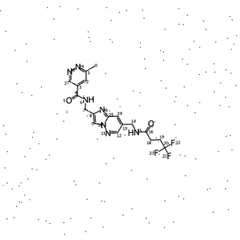 Cc1cc(C(=O)NCc2cn3ncc(CNC(=O)CCC(F)(F)F)cc3n2)cnn1